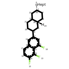 CCCCCCC[C@@H]1CC[C@@H]2CC(c3cc(F)c4c(F)c(F)ccc4c3)CCC2C1